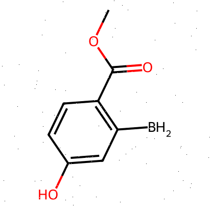 Bc1cc(O)ccc1C(=O)OC